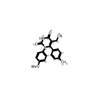 CSc1ccc(-n2c(-c3ccc(C)cc3)c(CC#N)c(=O)[nH]c2=O)cc1